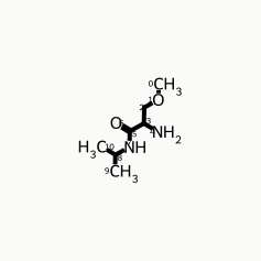 COCC(N)C(=O)NC(C)C